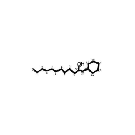 CCCCCCCCCCC(O)CC1CCCCC1